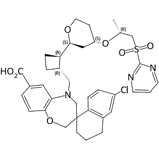 C[C@H](CS(=O)(=O)c1ncccn1)O[C@H]1CCO[C@H]([C@@H]2CC[C@H]2CN2CC3(CCCc4cc(Cl)ccc43)COc3ccc(C(=O)O)cc32)C1